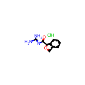 Cl.NC(N)=NC(=O)c1occ2ccccc12